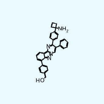 NC1(c2ccc(-c3nc4c5cccc(-c6ccc(CO)cc6)c5nn4cc3-c3ccccc3)cc2)CCC1